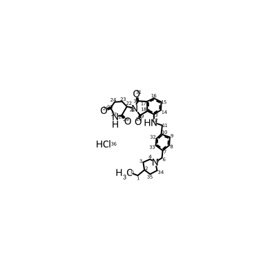 CCC1CCN(Cc2ccc(CNc3cccc4c3C(=O)N(C3CCC(=O)NC3=O)C4=O)cc2)CC1.Cl